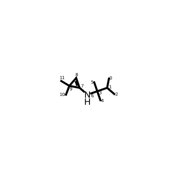 CC(C)C(C)(C)NC1=CC1(C)C